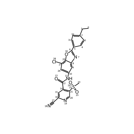 CCc1ccc(-c2nc3cc(NC(=O)c4cc(C#N)ncc4S(C)(=O)=O)cc(Cl)c3o2)cc1